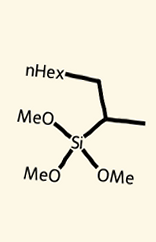 CCCCCCCC(C)[Si](OC)(OC)OC